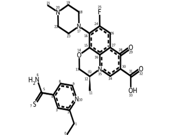 CCc1cc(C(N)=S)ccn1.C[C@H]1COc2c(N3CCN(C)CC3)c(F)cc3c(=O)c(C(=O)O)cn1c23